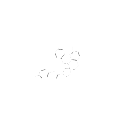 Cc1ccc2c(n1)N(Cc1ccccc1)C1(CC2)CCN(C(=O)Cc2ccc(F)cc2)C1